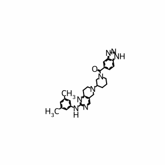 Cc1cc(C)cc(Nc2ncc3c(n2)CCN(C2CCCN(C(=O)c4ccc5[nH]nnc5c4)C2)C3)c1